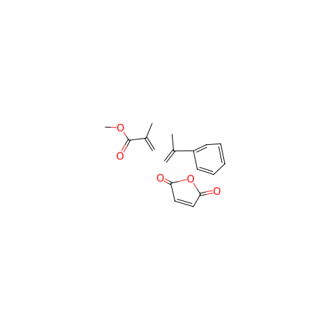 C=C(C)C(=O)OC.C=C(C)c1ccccc1.O=C1C=CC(=O)O1